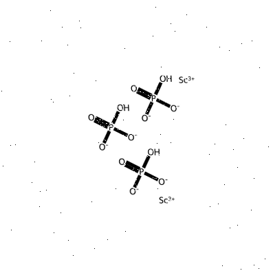 O=P([O-])([O-])O.O=P([O-])([O-])O.O=P([O-])([O-])O.[Sc+3].[Sc+3]